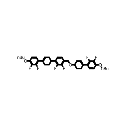 CCCCOc1ccc(C2=CCC(OCc3ccc(C4CC=C(c5ccc(OCCCC)c(F)c5F)CC4)c(F)c3F)CC2)c(F)c1F